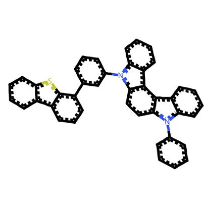 c1ccc(-n2c3ccccc3c3c4c5ccccc5n(-c5cccc(-c6cccc7c6sc6ccccc67)c5)c4ccc32)cc1